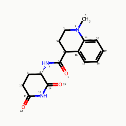 CN1CCC(C(=O)N[C@H]2CCC(=O)NC2=O)c2ccccc21